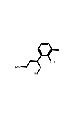 CCCCCCCCCCCCC(SCCCC)c1cccc(C)c1O